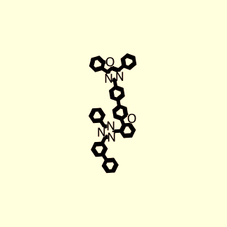 c1ccc(-c2cccc(-c3nc(-c4ccccc4)nc(-c4cccc5oc6cc(-c7ccc(-c8nc(-c9ccccc9)c9oc%10ccccc%10c9n8)cc7)ccc6c45)n3)c2)cc1